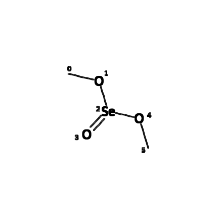 CO[Se](=O)OC